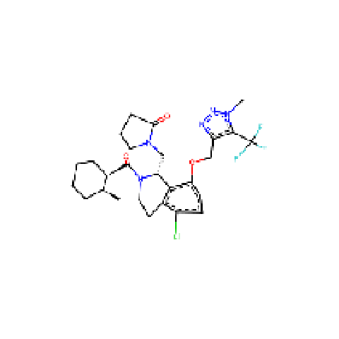 C[C@H]1CCCC[C@H]1C(=O)N1CCc2c(Cl)ccc(OCc3nnn(C)c3C(F)(F)F)c2[C@H]1CN1CCCC1=O